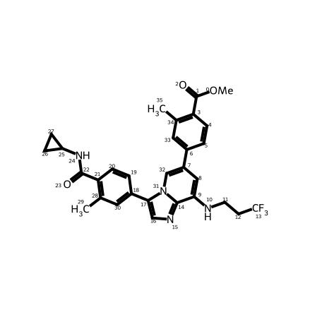 COC(=O)c1ccc(-c2cc(NCCC(F)(F)F)c3ncc(-c4ccc(C(=O)NC5CC5)c(C)c4)n3c2)cc1C